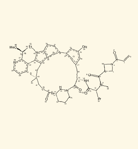 C=CC(=O)N1CC(C(=O)N(C)C(C(=O)N[C@H]2Cc3cc(O)cc(c3)-c3ccc4c(c3)c(c(-c3cccnc3[C@H](C)OC)n4CC)CC(C)(C)COC(=O)[C@@H]3CCCN(N3)C2=O)C(C)C)C1